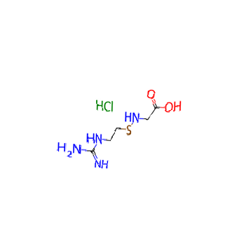 Cl.N=C(N)NCCSNCC(=O)O